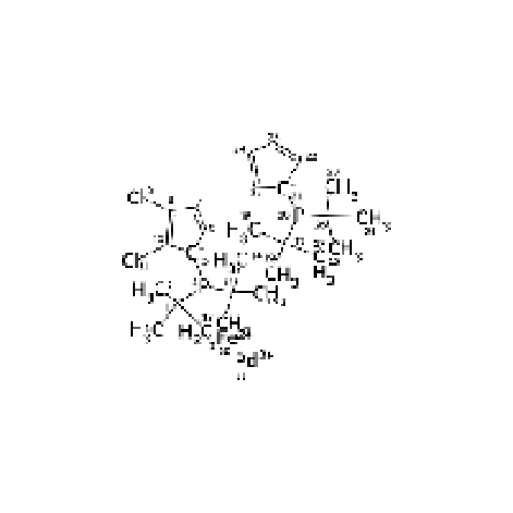 CC(C)(C)P([c-]1ccc(Cl)c1Cl)C(C)(C)C.CC(C)(C)P([c-]1cccc1)C(C)(C)C.[Fe+2].[Pd+2]